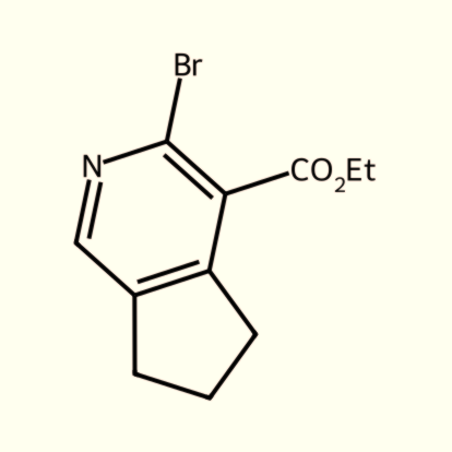 CCOC(=O)c1c(Br)ncc2c1CCC2